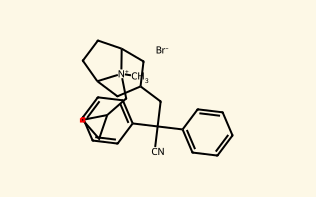 C[N+]1(CC2CC2)C2CCC1CC(CC(C#N)(c1ccccc1)c1ccccc1)C2.[Br-]